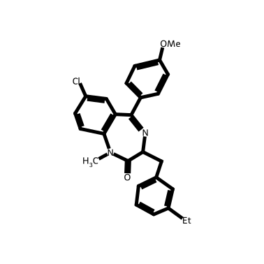 CCc1cccc(CC2N=C(c3ccc(OC)cc3)c3cc(Cl)ccc3N(C)C2=O)c1